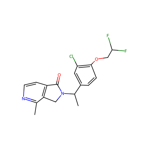 Cc1nccc2c1CN(C(C)c1ccc(OCC(F)F)c(Cl)c1)C2=O